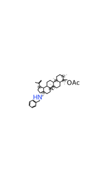 C=C(C)[C@@H]1CC[C@]2(CNCc3ccccc3)CC[C@]3(C)C(CCC4[C@@]5(C)CC[C@H](C)[C@@](C)(COC(C)=O)C5CC[C@]43C)C12